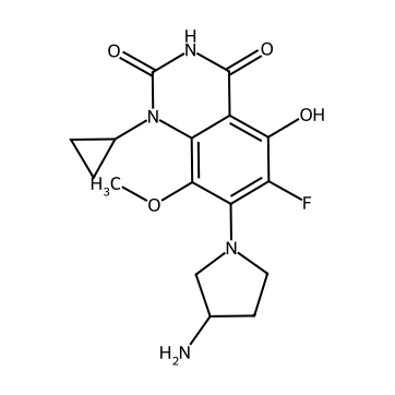 COc1c(N2CCC(N)C2)c(F)c(O)c2c(=O)[nH]c(=O)n(C3CC3)c12